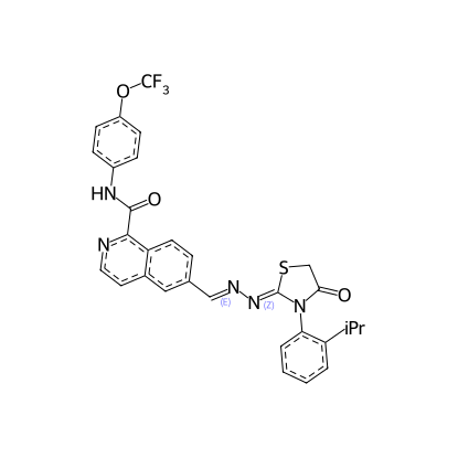 CC(C)c1ccccc1N1C(=O)CS/C1=N\N=C\c1ccc2c(C(=O)Nc3ccc(OC(F)(F)F)cc3)nccc2c1